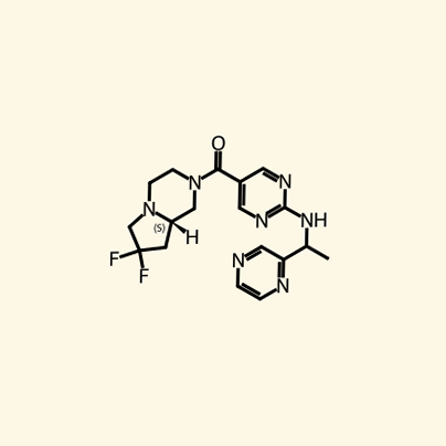 CC(Nc1ncc(C(=O)N2CCN3CC(F)(F)C[C@H]3C2)cn1)c1cnccn1